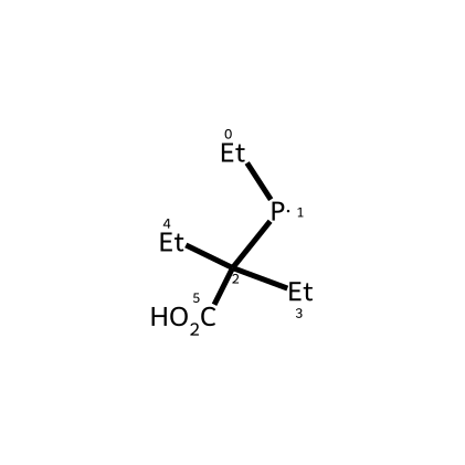 CC[P]C(CC)(CC)C(=O)O